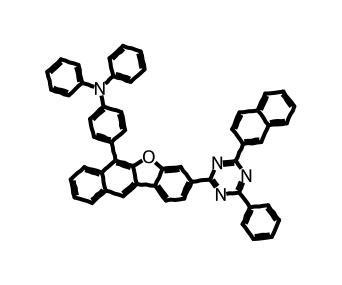 c1ccc(-c2nc(-c3ccc4ccccc4c3)nc(-c3ccc4c(c3)oc3c(-c5ccc(N(c6ccccc6)c6ccccc6)cc5)c5ccccc5cc34)n2)cc1